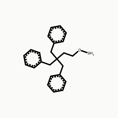 [SiH3]OCCC(Cc1ccccc1)(Cc1ccccc1)Cc1ccccc1